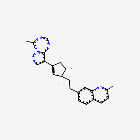 C[C@]1(CCc2ccc3ccc(N)nc3c2)C=C(c2cnn3c(N)ncnc23)[C@H](O)[C@@H]1O